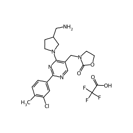 Cc1ccc(-c2ncc(CN3CCOC3=O)c(N3CCC(CN)C3)n2)cc1Cl.O=C(O)C(F)(F)F